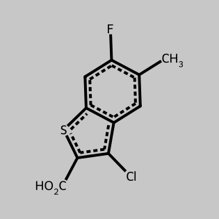 Cc1cc2c(Cl)c(C(=O)O)sc2cc1F